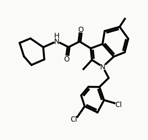 Cc1ccc2c(c1)c(C(=O)C(=O)NC1CCCCC1)c(C)n2Cc1ccc(Cl)cc1Cl